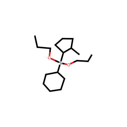 CCCO[Si](OCCC)(C1CCCCC1)C1CCCC1C